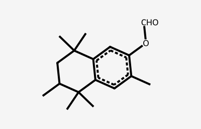 Cc1cc2c(cc1OC=O)C(C)(C)CC(C)C2(C)C